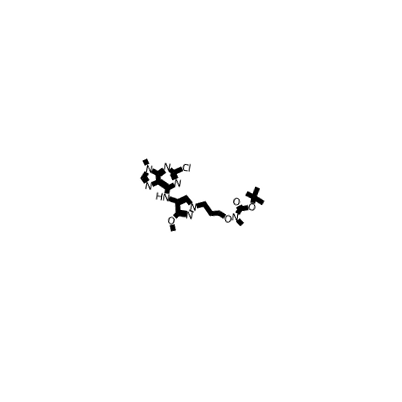 COc1nn(CCCON(C)C(=O)OC(C)(C)C)cc1Nc1nc(Cl)nc2c1ncn2C